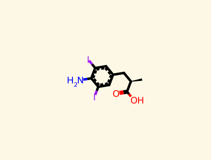 C[C@H](Cc1cc(I)c(N)c(I)c1)C(=O)O